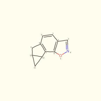 c1cc2cnoc2c2c1CC1CC21